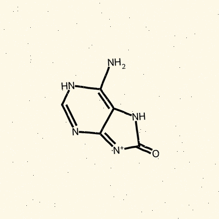 NC1=C2NC(=O)[N+]=C2N=CN1